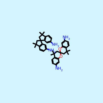 CC1(C)CC2(CC(C)(C)c3ccc(N)cc32)c2cc(N)ccc21.CC1(C)CC2(CC(C)(C)c3ccc(N)cc3O2)Oc2cc(N)ccc21